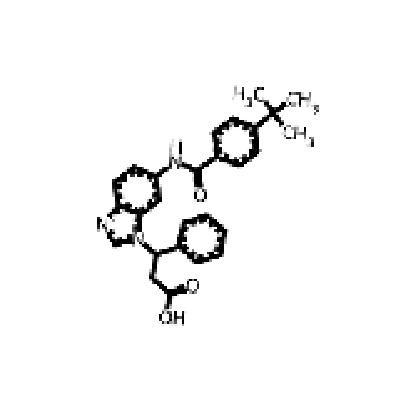 CC(C)(C)c1ccc(C(=O)Nc2ccc3ncn(C(CC(=O)O)c4ccccc4)c3c2)cc1